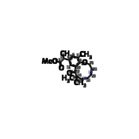 COC(=O)C(C)c1cc(C)c2c(c1)C(=O)C(C)(C)/C=C\C=C/CO2